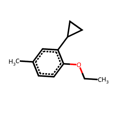 CCOc1ccc(C)cc1C1CC1